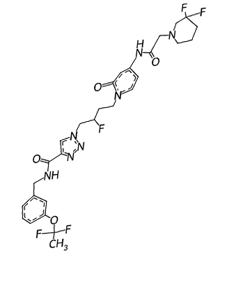 CC(F)(F)Oc1cccc(CNC(=O)c2cn(CC(F)CCn3ccc(NC(=O)CN4CCCC(F)(F)C4)cc3=O)nn2)c1